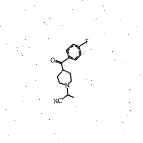 CC(C#N)N1CCC(C(=O)c2ccc(F)cc2)CC1